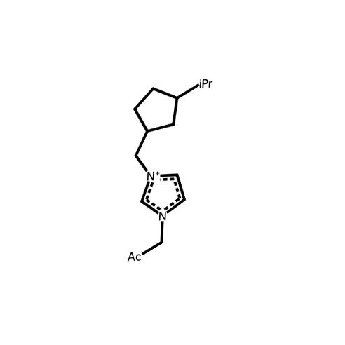 CC(=O)Cn1cc[n+](CC2CCC(C(C)C)C2)c1